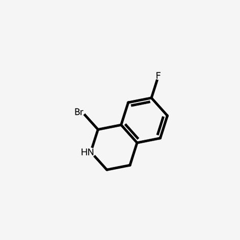 Fc1ccc2c(c1)C(Br)NCC2